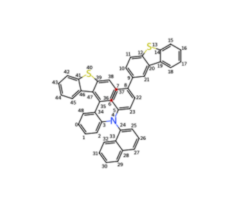 c1ccc(N(c2ccc(-c3ccc4sc5ccccc5c4c3)cc2)c2cccc3ccccc23)c(-c2cccc3sc4ccccc4c23)c1